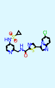 O=C(NCc1cc(NS(=O)(=O)C2CC2)ccn1)c1ncc(-c2cnc3ccc(Cl)cn23)s1